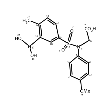 COc1ccc(N(CC(=O)O)S(=O)(=O)c2ccc(C)c(N(O)O)c2)cc1